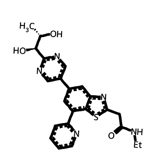 CCNC(=O)Cc1nc2cc(-c3cnc([C@@H](O)[C@H](C)O)nc3)cc(-c3ccccn3)c2s1